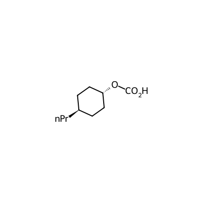 CCC[C@H]1CC[C@H](OC(=O)O)CC1